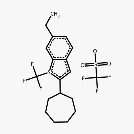 CCc1ccc2cc(C3CCCCCC3)[s+](C(F)(F)F)c2c1.O=S(=O)([O-])C(F)(F)F